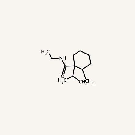 CCNC(=O)C1(C(C)C)CCCCC1C